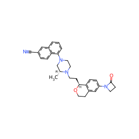 C[C@@H]1CN(c2cccc3cc(C#N)ccc23)CCN1CC[C@@H]1OCCc2cc(N3CCC3=O)ccc21